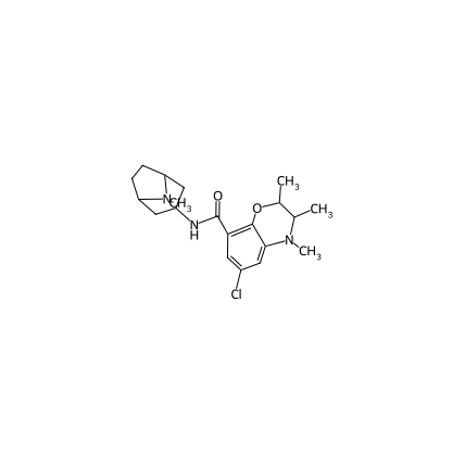 CC1Oc2c(C(=O)NC3CC4CCC(C3)N4C)cc(Cl)cc2N(C)C1C